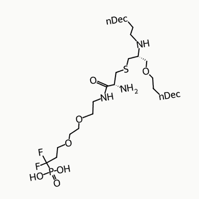 CCCCCCCCCCCCN[C@H](COCCCCCCCCCCCC)CSC[C@H](N)C(=O)NCCOCCOCCC(F)(F)P(=O)(O)O